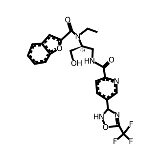 CCN(C(=O)c1cc2ccccc2o1)[C@H](CO)CNC(=O)c1ccc(C2N=C(C(F)(F)F)ON2)cn1